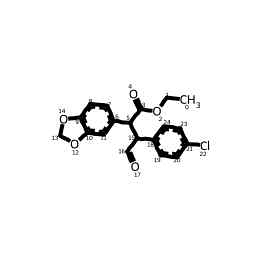 CCOC(=O)C(c1ccc2c(c1)OCO2)C(C=O)c1ccc(Cl)cc1